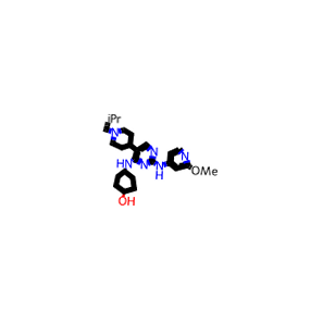 COc1cc(Nc2ncc(C3CCN(CC(C)C)CC3)c(N[C@H]3CC[C@H](O)CC3)n2)ccn1